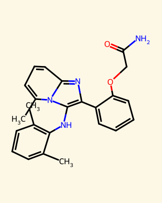 Cc1cccc(C)c1Nc1c(-c2ccccc2OCC(N)=O)nc2cccc(C)n12